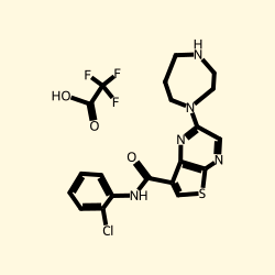 O=C(Nc1ccccc1Cl)c1csc2ncc(N3CCCNCC3)nc12.O=C(O)C(F)(F)F